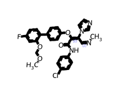 C/N=C\C(=C(\Oc1ccc(-c2ccc(F)cc2OCOC)cc1)C(=O)Nc1ccc(Cl)cc1)n1ccnc1